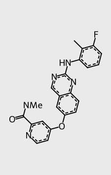 CNC(=O)c1cc(Oc2ccc3nc(Nc4cccc(F)c4C)ncc3c2)ccn1